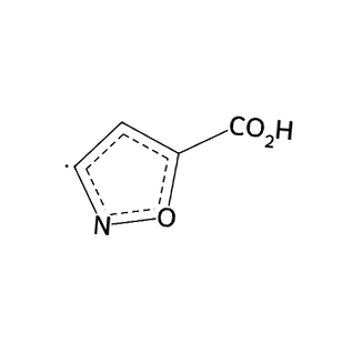 O=C(O)c1c[c]no1